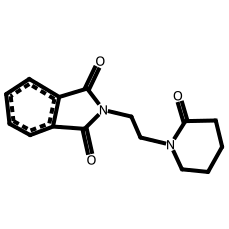 O=C1CCCCN1CCN1C(=O)c2ccccc2C1=O